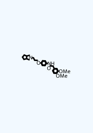 COc1ccc(CC(=O)Nc2ccc(OCCCN3CC4CCCC4C3)cc2)cc1OC